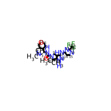 CN(C)C[C@@H](NC(=O)N1Cc2c(Nc3ccnc(C(F)(F)F)n3)n[nH]c2C1(C)C)C1CCOCC1